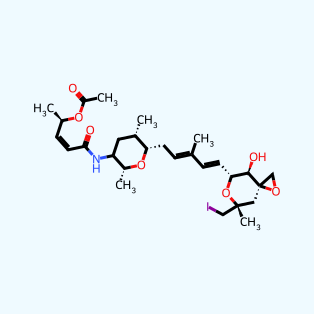 CC(=O)O[C@H](C)/C=C\C(=O)NC1C[C@H](C)[C@H](C/C=C(C)/C=C/[C@H]2O[C@@](C)(CI)C[C@@]3(CO3)[C@@H]2O)O[C@@H]1C